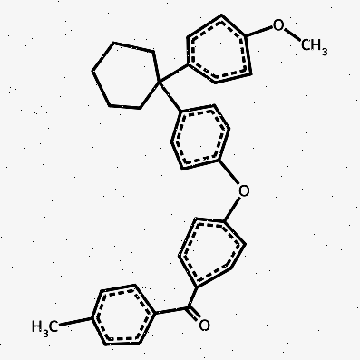 COc1ccc(C2(c3ccc(Oc4ccc(C(=O)c5ccc(C)cc5)cc4)cc3)CCCCC2)cc1